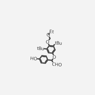 CCOCOc1c(C(C)(C)C)cc(OC(C=O)c2ccc(O)cc2)cc1C(C)(C)C